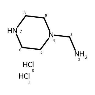 Cl.Cl.NCN1CCNCC1